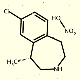 C[C@H]1CNCCc2ccc(Cl)cc21.O=[N+]([O-])O